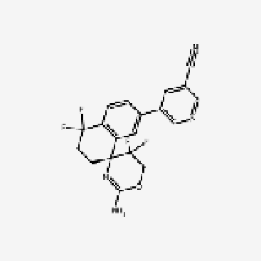 N#Cc1cncc(-c2ccc3c(c2)[C@@]2(CCC3(F)F)N=C(N)OCC2(F)F)c1